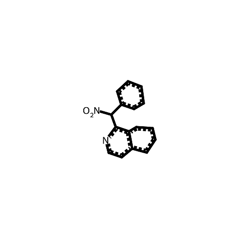 O=[N+]([O-])C(c1ccccc1)c1nccc2ccccc12